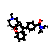 CCN(CC)C(=O)c1ccc(C2=CC3(CCCN(C)CC3)Oc3ccccc32)cc1